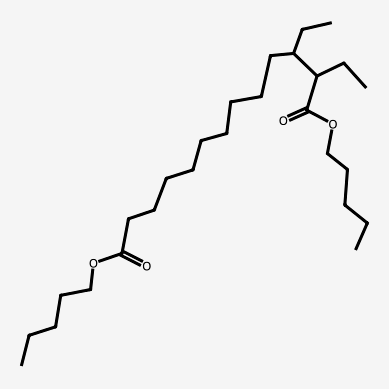 CCCCCOC(=O)CCCCCCCCCC(CC)C(CC)C(=O)OCCCCC